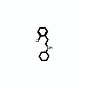 Clc1ccccc1CCNC1CCCCC1